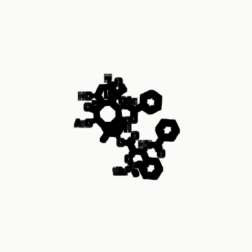 CC(=O)O[C@H]1C(=O)[C@@]2(C)[C@H]([C@H](OC(=O)c3ccccc3)[C@]3(O)C[C@H](OC(=O)C(O[Si](C)(C)C(C)(C)C)[C@@H](NC(=O)c4ccccc4)c4ccccc4)C(C)=C1C3(C)C)[C@]1(OC(C)=O)CO[C@@H]1C[C@@H]2O